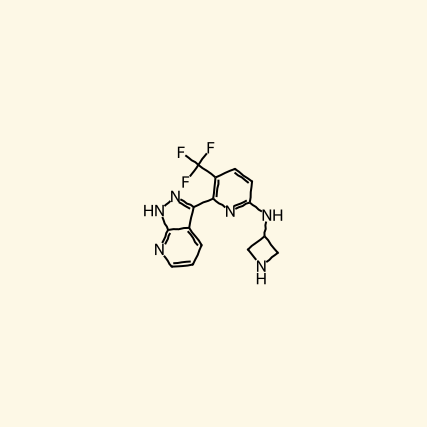 FC(F)(F)c1ccc(NC2CNC2)nc1-c1n[nH]c2ncccc12